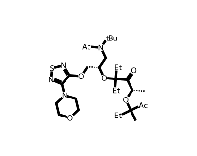 CCC(C)(O[C@@H](C)C(=O)C(CC)(CC)O[C@H](COc1nsnc1N1CCOCC1)CN(C(C)=O)C(C)(C)C)C(C)=O